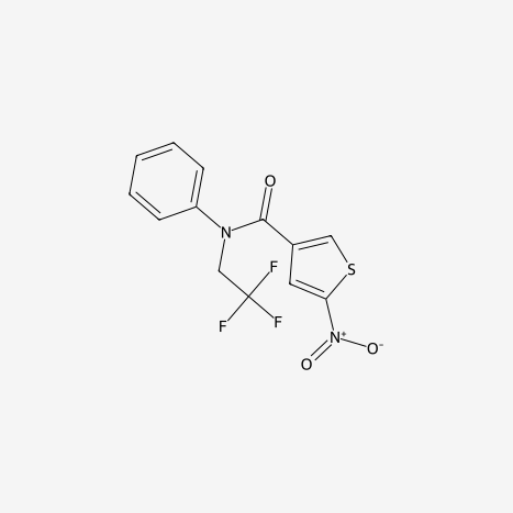 O=C(c1csc([N+](=O)[O-])c1)N(CC(F)(F)F)c1ccccc1